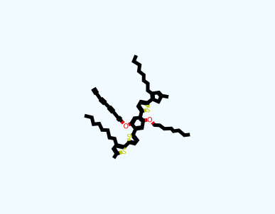 C#CC#CC#CC#COc1cc(-c2ccc(C3=C(CCCCCCCC)C=C(C)C3)s2)c(OCCCCCCCC)cc1-c1ccc(-c2sc(C)cc2CCCCCCCC)s1